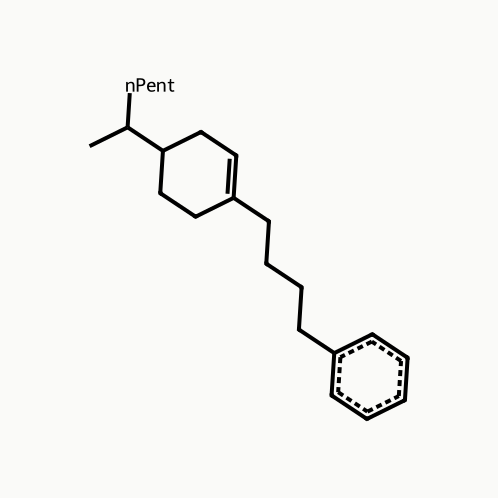 CCCCCC(C)C1CC=C(CCCCc2ccccc2)CC1